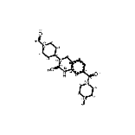 CN1CCN(C(=O)c2ccc3c(c2)NC(=O)N(C2CCN(C=O)CC2)C3)CC1